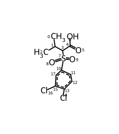 CC(C)C(C(=O)O)S(=O)(=O)c1ccc(Cl)c(Cl)c1